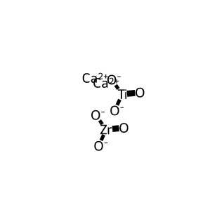 [Ca+2].[Ca+2].[O]=[Ti]([O-])[O-].[O]=[Zr]([O-])[O-]